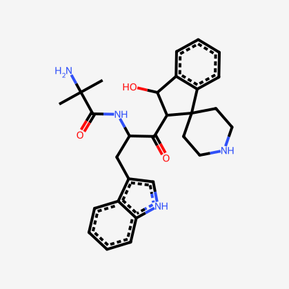 CC(C)(N)C(=O)NC(Cc1c[nH]c2ccccc12)C(=O)C1C(O)c2ccccc2C12CCNCC2